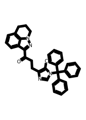 Cc1c(CCC(=O)c2nn3c4c(cccc24)CCC3)ncn1C(c1ccccc1)(c1ccccc1)c1ccccc1